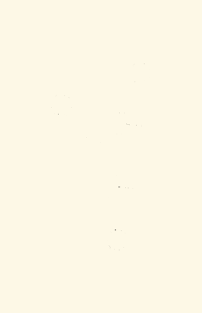 O=C(OCCc1ccccc1)OCC(COC(=O)OCCc1ccccc1)OC(=O)OCCc1ccccc1